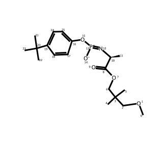 COCC(C)(C)COC(=O)[C@H](C)N=[P+]([O-])Oc1ccc(C(C)(C)C)cc1